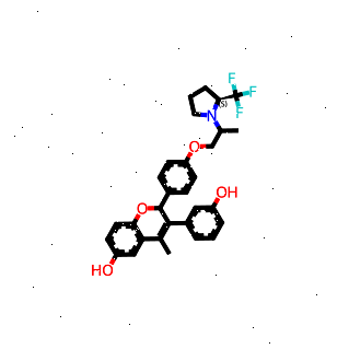 CC1=C(c2cccc(O)c2)C(c2ccc(OCC(C)N3CCC[C@H]3C(F)(F)F)cc2)Oc2ccc(O)cc21